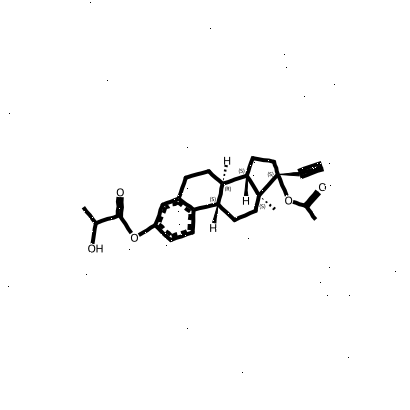 C#C[C@]1(OC(C)=O)CC[C@H]2[C@@H]3CCc4cc(OC(=O)C(C)O)ccc4[C@H]3CC[C@@]21C